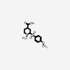 COc1ccc(S(=O)(=O)C2CC(C(=O)O)CCN2C)cc1